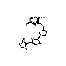 Fc1ccc(Br)c(O[C@H]2CCN(c3nnc(-c4nnn[nH]4)o3)C2)c1